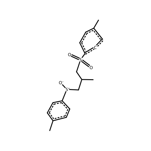 Cc1ccc([S+]([O-])CC(C)CS(=O)(=O)c2ccc(C)cc2)cc1